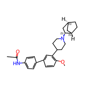 COc1ccc(-c2ccc(NC(C)=O)cc2)cc1C1CCN([C@H]2C[C@H]3CC[C@H]2C3)CC1